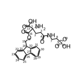 N[C@@](CCC(=O)NCCS(=O)(=O)O)(C(=O)O)C(=O)OCC1c2ccccc2-c2ccccc21